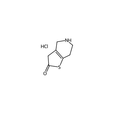 Cl.O=C1CC2=C(CCNC2)S1